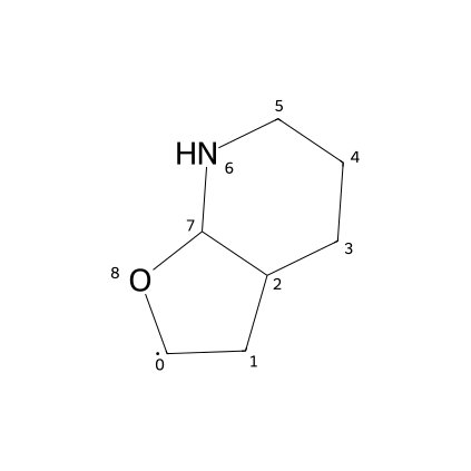 [CH]1CC2CCCNC2O1